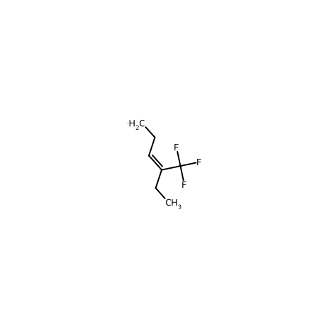 [CH2]CC=C(CC)C(F)(F)F